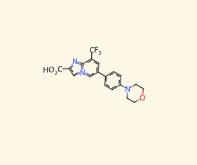 O=C(O)c1cn2cc(-c3ccc(N4CCOCC4)cc3)cc(C(F)(F)F)c2n1